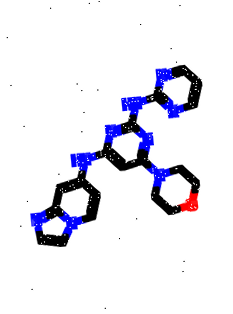 c1cnc(Nc2nc(Nc3ccn4ccnc4c3)cc(N3CCOCC3)n2)nc1